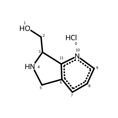 Cl.OCC1NCc2cccnc21